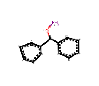 POC(c1ccccc1)c1ccccc1